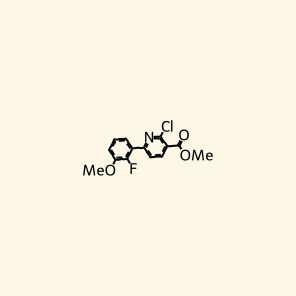 COC(=O)c1ccc(-c2cccc(OC)c2F)nc1Cl